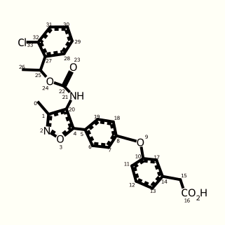 Cc1noc(-c2ccc(Oc3cccc(CC(=O)O)c3)cc2)c1NC(=O)OC(C)c1ccccc1Cl